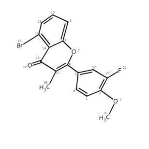 COc1ccc(-c2oc3cccc(Br)c3c(=O)c2C)cc1F